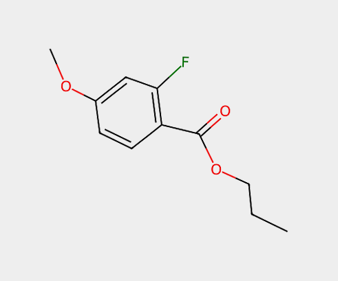 CCCOC(=O)c1ccc(OC)cc1F